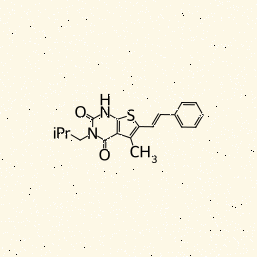 Cc1c(/C=C/c2ccccc2)sc2[nH]c(=O)n(CC(C)C)c(=O)c12